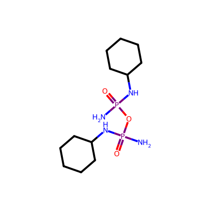 NP(=O)(NC1CCCCC1)OP(N)(=O)NC1CCCCC1